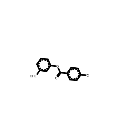 O=Cc1cccc(OC(=O)c2ccc(Cl)cc2)c1